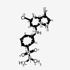 CN(C)S(=O)(=O)c1cccc(Nc2cc(Cl)nc3c(Br)cnn23)c1